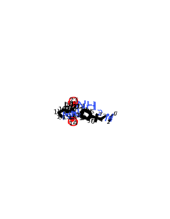 CN(C)CCC(C)(C)c1ccc(N2C(=O)N3CC[CH][C@@H]3C2C(N)=O)cc1